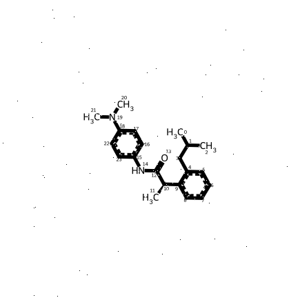 CC(C)Cc1ccccc1[C@@H](C)C(=O)Nc1ccc(N(C)C)cc1